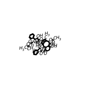 CC(=O)O[C@H]1C(=O)[C@@]2(C)C([C@H](OC(=O)c3ccccc3)[C@]3(O)C[C@H](OC(=O)[C@H](O)C(NC(=O)OC(C)(C)C)c4ccccc4)C(C)=C1C3(C)C)[C@]1(OC(C)=O)COC1C[C@@H]2O